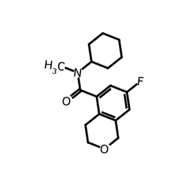 CN(C(=O)c1cc(F)cc2c1CCOC2)C1CCCCC1